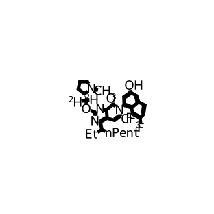 [2H]C([2H])(Oc1nc(C(CC)CCCCC)c2cc(C(F)(F)F)n(-c3cc(O)cc4ccc(F)c(F)c34)c(=O)c2n1)[C@@H]1CCCN1C